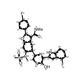 CNC(=O)c1c(-c2ccc(F)cc2)oc2cc(N(C)S(C)(=O)=O)c(-c3cnc(O)c(-c4cc5c(F)cccc5[nH]4)n3)cc12